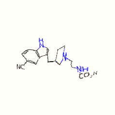 N#Cc1ccc2[nH]cc(CC3CCN(CCNC(=O)O)C3)c2c1